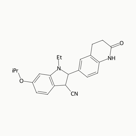 CCN1c2cc(OC(C)C)ccc2C(C#N)C1c1ccc2c(c1)CCC(=O)N2